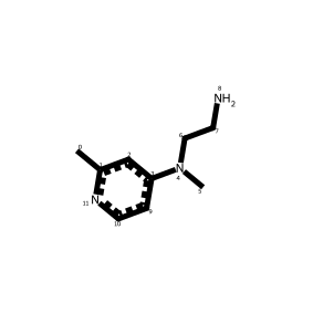 Cc1cc(N(C)CCN)ccn1